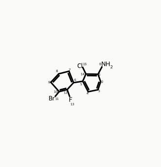 Nc1cccc(-c2cccc(Br)c2F)c1Cl